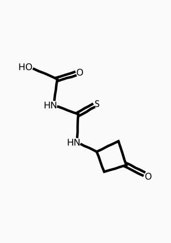 O=C1CC(NC(=S)NC(=O)O)C1